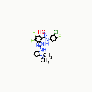 CN(C)C1CCCC1Nc1nc2c(F)c(F)cc(/C(=N\O)Nc3ccc(F)c(Cl)c3)c2[nH]1